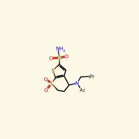 CC(=O)N(CC(C)C)C1CCS(=O)(=O)c2sc(S(N)(=O)=O)cc21